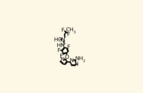 CC(F)(F)CCN(O)SNc1c(F)cc(Oc2ncccc2-c2ccnc(N)n2)c(F)c1F